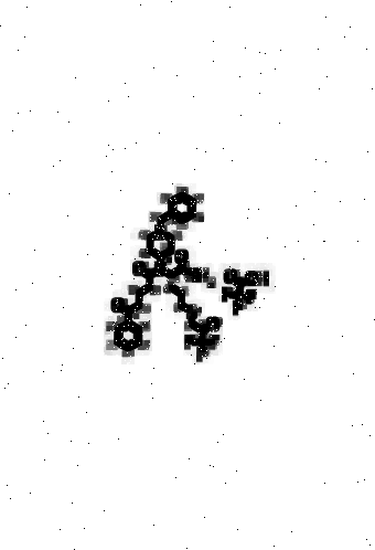 NC(=O)[C@H](CCCSCC(=O)C(F)(F)F)N(C(=O)CCCC(=O)c1ccccc1)C1CCN(Cc2ccccc2)CC1.O=C(O)C(F)(F)F